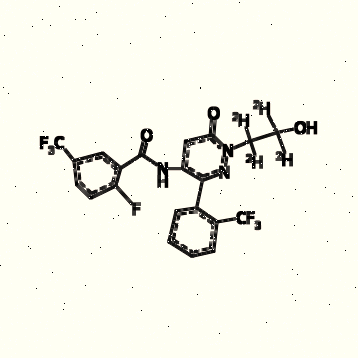 [2H]C([2H])(O)C([2H])([2H])n1nc(-c2ccccc2C(F)(F)F)c(NC(=O)c2cc(C(F)(F)F)ccc2F)cc1=O